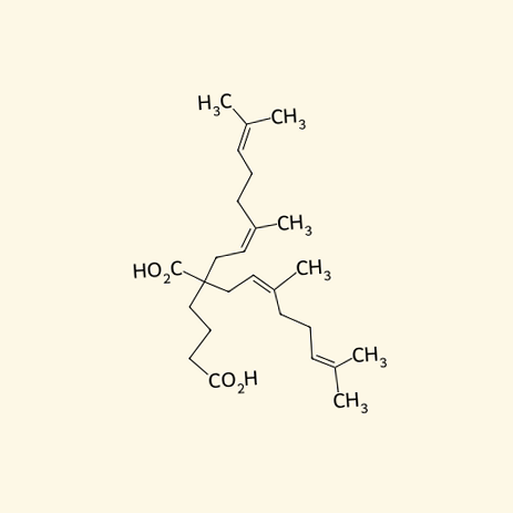 CC(C)=CCCC(C)=CCC(CC=C(C)CCC=C(C)C)(CCCC(=O)O)C(=O)O